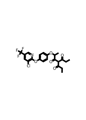 CCC(=O)C(C(=O)CC)C(=O)C(C)Oc1ccc(Oc2ncc(C(F)(F)F)cc2Cl)cc1